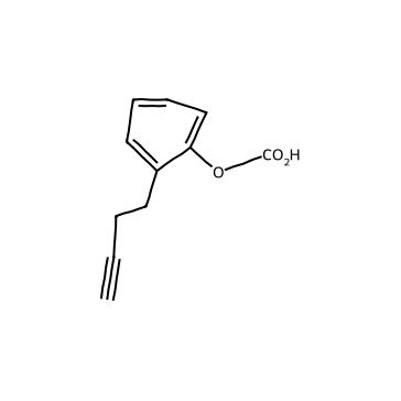 C#CCCc1ccccc1OC(=O)O